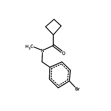 CN(Cc1ccc(Br)cc1)C(=O)C1CCC1